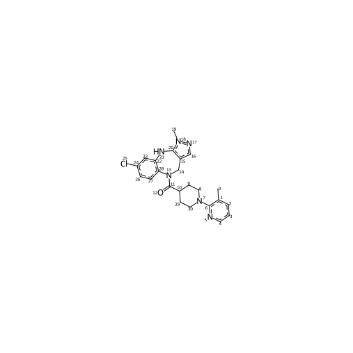 Cc1cccnc1N1CCC(C(=O)N2Cc3cnn(C)c3Nc3cc(Cl)ccc32)CC1